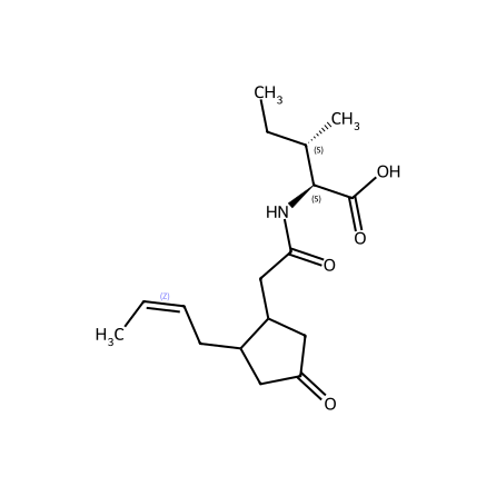 C/C=C\CC1CC(=O)CC1CC(=O)N[C@H](C(=O)O)[C@@H](C)CC